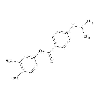 Cc1cc(OC(=O)c2ccc(OC(C)C)cc2)ccc1O